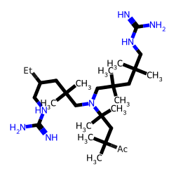 CCC(CNC(=N)N)CC(C)(C)CN(CC(C)(C)CC(C)(C)CNC(=N)N)C(C)(C)CC(C)(C)C(C)=O